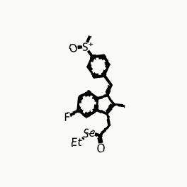 CC[Se]C(=O)CC1=C(C)/C(=C/c2ccc([S+](C)[O-])cc2)c2ccc(F)cc21